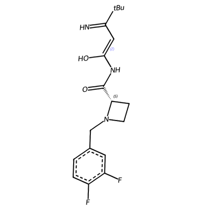 CC(C)(C)C(=N)/C=C(\O)NC(=O)[C@@H]1CCN1Cc1ccc(F)c(F)c1